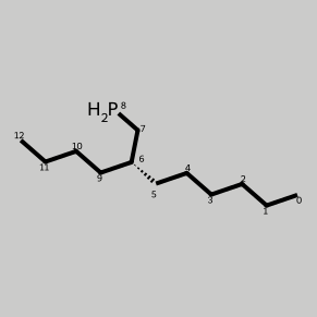 CCCCCC[C@@H](CP)CCCC